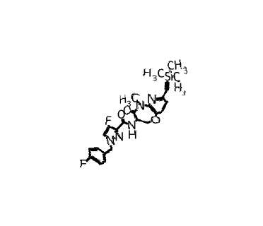 CN1C(=O)C(NC(=O)c2nn(Cc3ccc(F)cc3)cc2F)COc2ccc(C#C[Si](C)(C)C)nc21